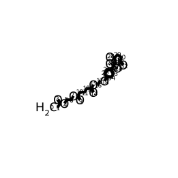 C=CC(=O)OCCOC(=O)CCCC(=O)OCCOc1ccc(S(=O)(=O)N2C(=O)CCC2=O)cc1